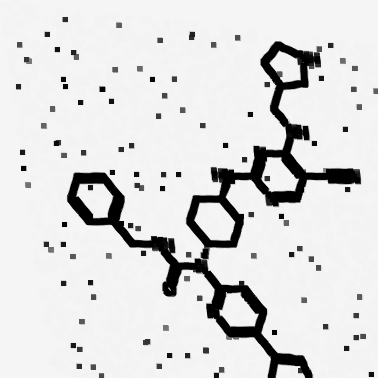 Cn1cc(-c2ccc(N(C(=O)NCc3ccccc3)[C@H]3CC[C@H](Nc4ncc(C#N)c(NCC5CCNC5)n4)CC3)nc2)cn1